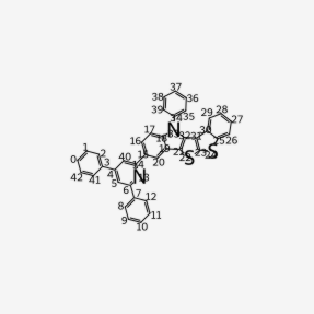 c1ccc(-c2cc(-c3ccccc3)nc(-c3ccc4c(c3)c3sc5sc6ccccc6c5c3n4-c3ccccc3)c2)cc1